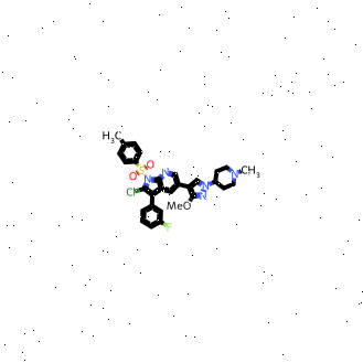 COc1nn(C2CCN(C)CC2)cc1-c1cnc2c(c1)c(-c1cccc(F)c1)c(Cl)n2S(=O)(=O)c1ccc(C)cc1